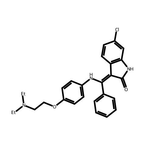 CCN(CC)CCOc1ccc(NC(=C2C(=O)Nc3cc(Cl)ccc32)c2ccccc2)cc1